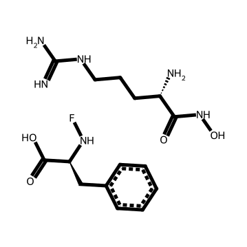 N=C(N)NCCC[C@H](N)C(=O)NO.O=C(O)[C@H](Cc1ccccc1)NF